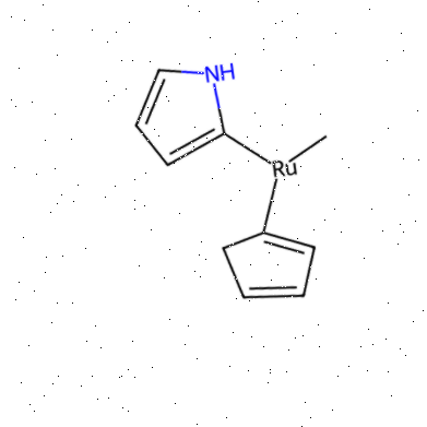 [CH3][Ru]([C]1=CC=CC1)[c]1ccc[nH]1